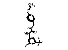 CCSc1ccc(CNC(=O)Nc2cc(F)cc(C(F)(F)F)c2)cc1